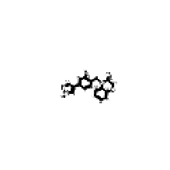 Cn1cc(-c2ccc(CN3C(=O)COc4ccccc43)c(F)c2)cn1